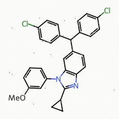 COc1cccc(-n2c(C3CC3)nc3ccc(C(c4ccc(Cl)cc4)c4ccc(Cl)cc4)cc32)c1